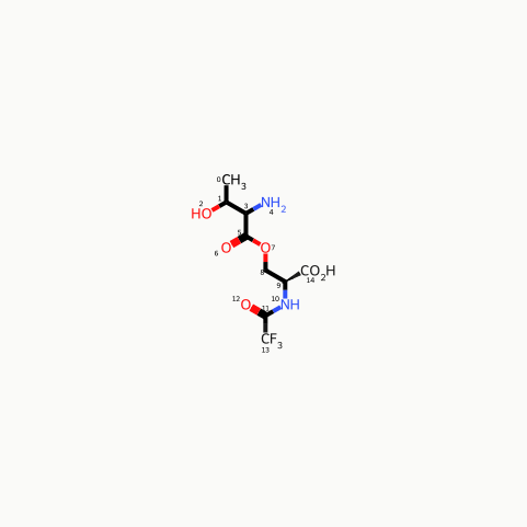 CC(O)C(N)C(=O)OC[C@H](NC(=O)C(F)(F)F)C(=O)O